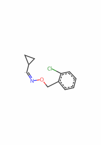 Clc1ccccc1CO/N=[C]\C1CC1